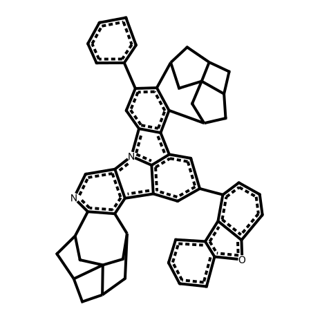 c1ccc(-c2cc3c(c4c2C2CC5CC6CC4CC56C2)c2cc(-c4cccc5oc6ccccc6c45)cc4c5c6c(ncc5n3c42)C2CC3CC4CC6CC34C2)cc1